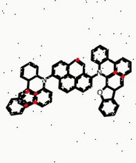 C=Cc1c(N(C2=CC=CC3c4ccccc4OC23)c2ccccc2-c2ccccc2)ccc2ccc3c(N(c4cccc5c4oc4ccccc45)C4C=CC=CC4c4ccccc4)ccc(C)c3c12